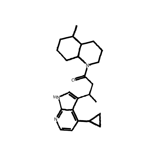 CC(CC(=O)N1CCCC2C(C)CCCC21)c1c[nH]c2nccc(C3CC3)c12